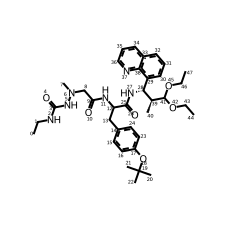 CCNC(=O)NN(C)CC(=O)NC(Cc1ccc(OC(C)(C)C)cc1)C(=O)N[C@H](c1cccc2cccnc12)[C@H](C)C(OCC)OCC